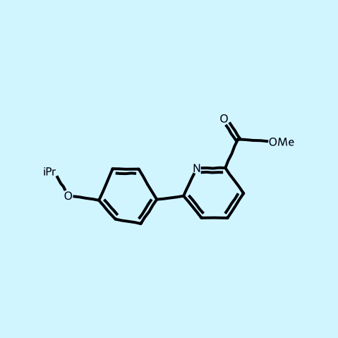 COC(=O)c1cccc(-c2ccc(OC(C)C)cc2)n1